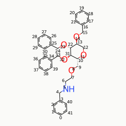 c1ccc(CNCCOC[C@H]2OC[C@H](OCc3ccccc3)[C@@H](OCc3ccccc3)[C@@H]2OCc2ccccc2)cc1